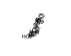 C[C@@]1(O)CC[C@@H]2[C@H]3CC[C@@]4(C)[C@@H](CC[C@@H]4C(=O)Cn4nnn(C5CCCCC5)c4=O)[C@]3(C)CCN2C1